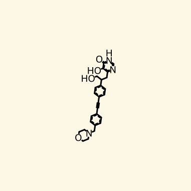 O=c1[nH]cnc(CC(CO)c2ccc(C#Cc3ccc(CN4CCOCC4)cc3)cc2)c1O